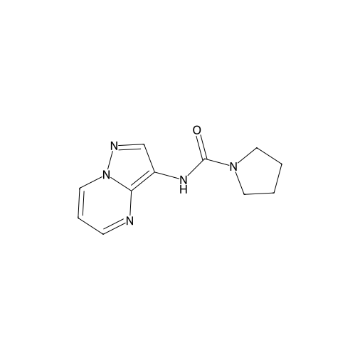 O=C(Nc1cnn2cccnc12)N1CCCC1